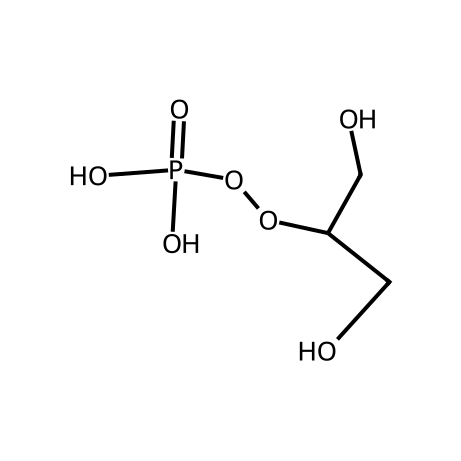 O=P(O)(O)OOC(CO)CO